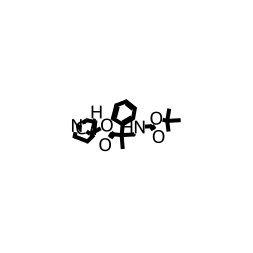 CC(C)(C)OC(=O)NCC(C)(C(=O)O[C@H]1CN2CCC1CC2)c1ccccc1